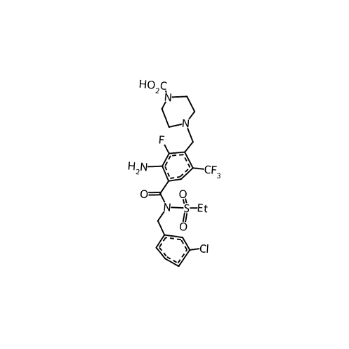 CCS(=O)(=O)N(Cc1cccc(Cl)c1)C(=O)c1cc(C(F)(F)F)c(CN2CCN(C(=O)O)CC2)c(F)c1N